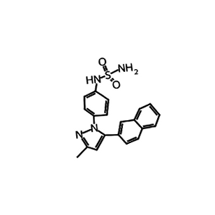 Cc1cc(-c2ccc3ccccc3c2)n(-c2ccc(NS(N)(=O)=O)cc2)n1